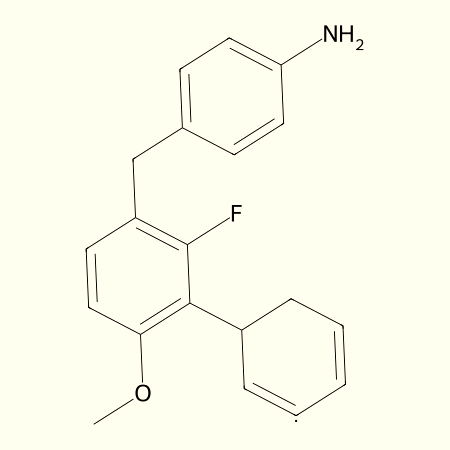 COc1ccc(Cc2ccc(N)cc2)c(F)c1C1C=[C]C=CC1